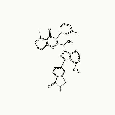 CC(c1oc2cccc(F)c2c(=O)c1-c1cccc(F)c1)n1nc(-c2ccc3c(c2)CNC3=O)c2c(N)ncnc21